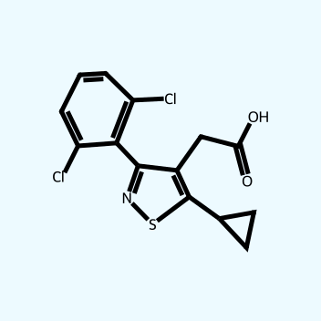 O=C(O)Cc1c(-c2c(Cl)cccc2Cl)nsc1C1CC1